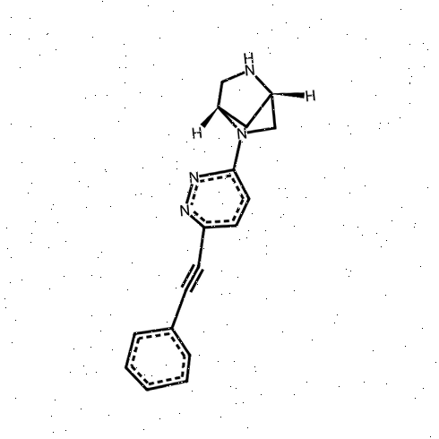 C(#Cc1ccc(N2C[C@@H]3C[C@H]2CN3)nn1)c1ccccc1